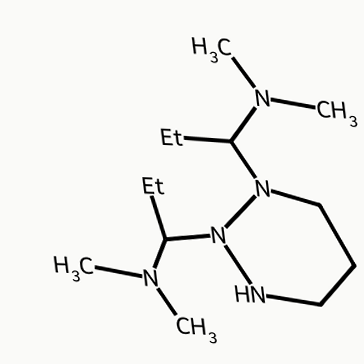 CCC(N(C)C)N1CCCNN1C(CC)N(C)C